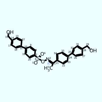 C/C(=N\OS(=O)(=O)c1ccc(-c2ccc(CO)cc2)cc1)c1ccc(-c2ccc(CO)cc2)cc1